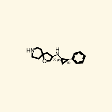 c1ccc([C@@H]2C[C@H]2N[C@H]2COC3(CCNCC3)C2)cc1